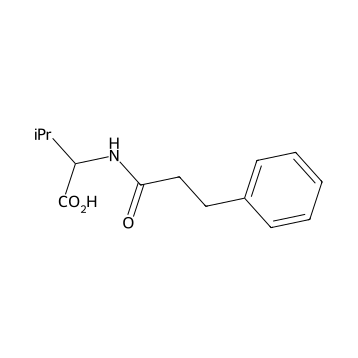 CC(C)C(NC(=O)CCc1ccccc1)C(=O)O